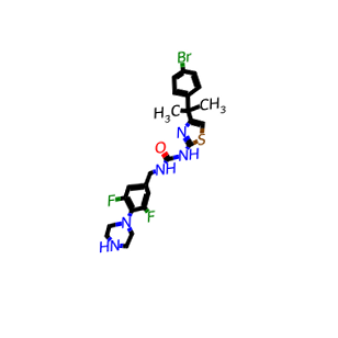 CC(C)(c1ccc(Br)cc1)c1csc(NC(=O)NCc2cc(F)c(N3CCNCC3)c(F)c2)n1